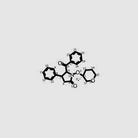 C[C@]1(ON2C(=O)CC(c3ccccc3)C2C(=O)c2ccccc2)CCCOC1